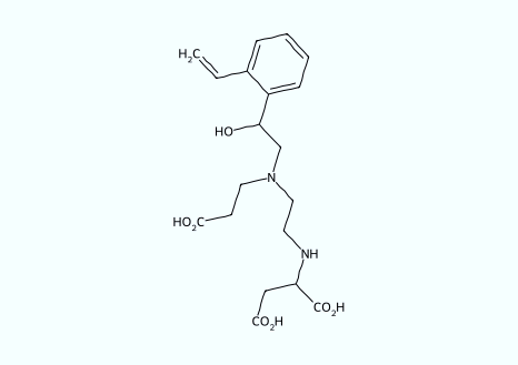 C=Cc1ccccc1C(O)CN(CCNC(CC(=O)O)C(=O)O)CCC(=O)O